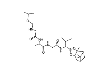 CC(C)OCNCC(=O)NC(C)C(=O)NCC(=O)NC(B1OC2CC3CC(C3(C)C)C2(C)O1)C(C)C